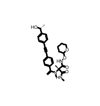 C=C(c1ccc(C#Cc2ccc([C@@H](C)O)cc2)cc1)N(C)[C@@](C)(C(=O)NC)C(=O)NOC1CCCCO1